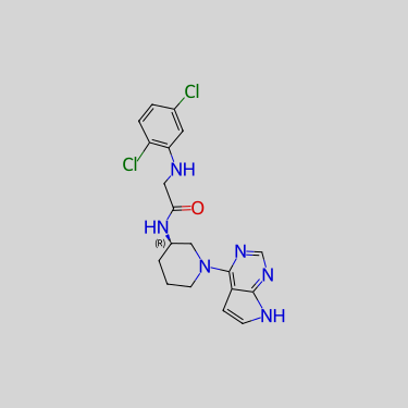 O=C(CNc1cc(Cl)ccc1Cl)N[C@@H]1CCCN(c2ncnc3[nH]ccc23)C1